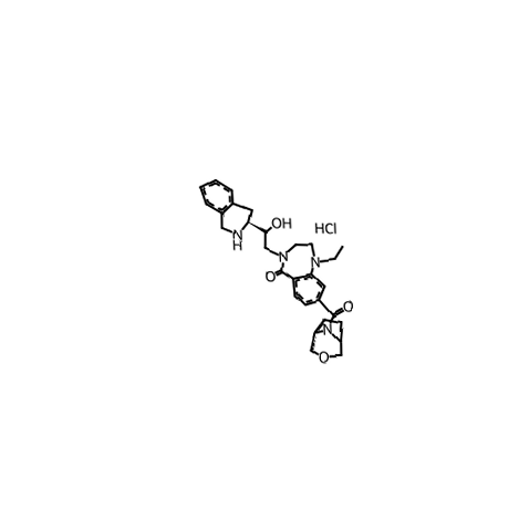 CCN1CCN(CC(O)[C@@H]2Cc3ccccc3CN2)C(=O)c2ccc(C(=O)N3C4CCC3COC4)cc21.Cl